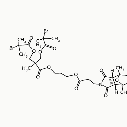 CC(C)(Br)C(=O)OCC(C)(COC(=O)C(C)(C)Br)C(=O)OCCCOC(=O)CCN1C(=O)[C@@H]2[C@H](C1=O)C1(C)C=CC2(C)O1